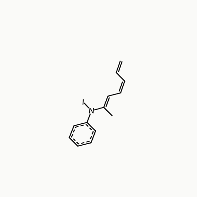 C=C/C=C\C=C(/C)N(I)c1ccccc1